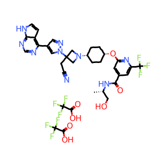 C[C@@H](CO)NC(=O)c1cc(O[C@H]2CC[C@@H](N3CC(CC#N)(n4cc(-c5ncnc6[nH]ccc56)cn4)C3)CC2)nc(C(F)(F)F)c1.O=C(O)C(F)(F)F.O=C(O)C(F)(F)F